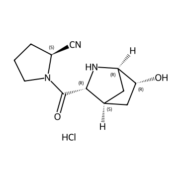 Cl.N#C[C@@H]1CCCN1C(=O)[C@@H]1N[C@@H]2C[C@H]1C[C@H]2O